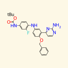 CC(C)(C)OC(=O)Nc1ccc(Nc2ccc(OCc3ccccc3)c(-c3ccnc(N)n3)c2)c(F)c1